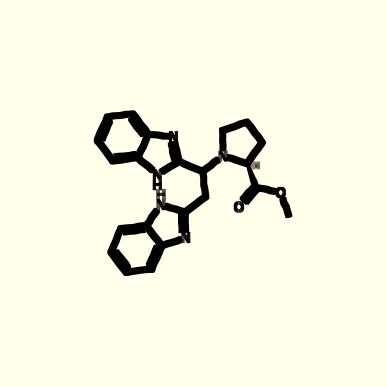 COC(=O)[C@@H]1CCCN1C(Cc1nc2ccccc2[nH]1)c1nc2ccccc2[nH]1